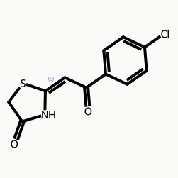 O=C1CS/C(=C/C(=O)c2ccc(Cl)cc2)N1